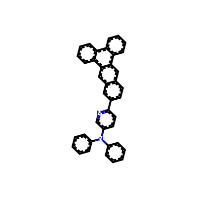 c1ccc(N(c2ccccc2)c2ccc(-c3ccc4cc5c6ccccc6c6ccccc6c5cc4c3)nc2)cc1